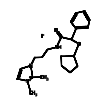 Cc1n(CCCNC(=O)C(OC2CCCC2)c2ccccc2)cc[n+]1C.[I-]